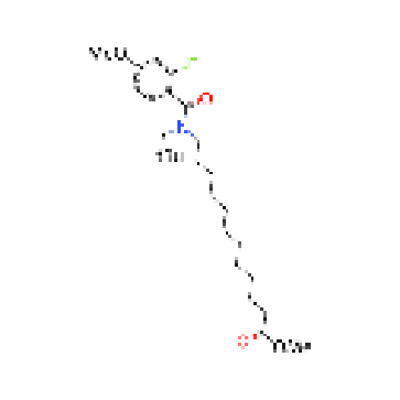 COC(=O)CCCCCCCCCCCN(CC(C)(C)C)C(=O)c1ccc(OC)cc1F